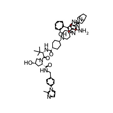 Cc1nccn1-c1ccc(CNC(=O)[C@@H]2C[C@@H](O)CN2C(=O)[C@@H](NC(=O)[C@H]2CC[C@H](N3CCC(c4cnc(N5C6CCC5CN(c5cc(-c7ccccc7O)nnc5N)C6)nc4)CC3)CC2)C(C)(C)C)cc1